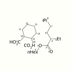 CCCCCCOC(=O)C(CC)CCC(C)C.O=C(O)C1CCCCC1C(=O)O